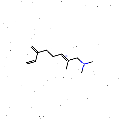 C=CC(=C)CC/C=C(\C)CN(C)C